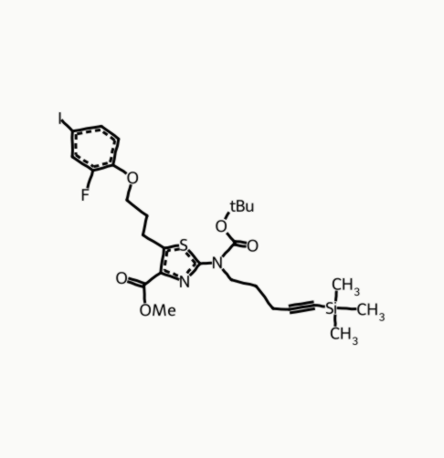 COC(=O)c1nc(N(CCCC#C[Si](C)(C)C)C(=O)OC(C)(C)C)sc1CCCOc1ccc(I)cc1F